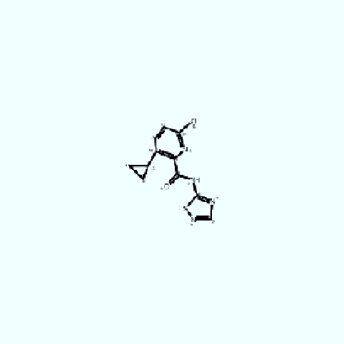 O=C(Nc1ncns1)c1nc(Cl)ccc1C1CC1